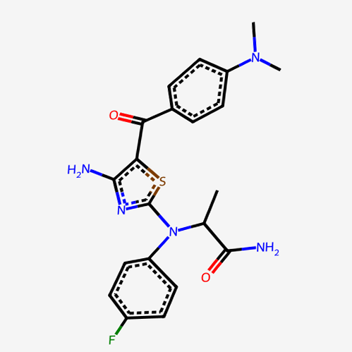 CC(C(N)=O)N(c1ccc(F)cc1)c1nc(N)c(C(=O)c2ccc(N(C)C)cc2)s1